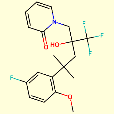 COc1ccc(F)cc1C(C)(C)CC(O)(Cn1ccccc1=O)C(F)(F)F